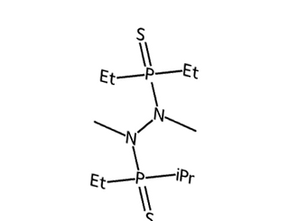 CCP(=S)(CC)N(C)N(C)P(=S)(CC)C(C)C